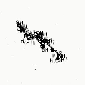 CCC[C@H](NC(=O)CNC(=O)[C@@H](NC(=O)[C@H](Cc1cnc[nH]1)NC(=O)[C@H](Cc1ccc(O)cc1)NC(=O)C(NC(=O)CCSCc1cccc(CSC[C@H](NC(=O)C[C@@H](C)O)C(N)=O)c1)C(C)(C)C)[C@@H](C)O)C(=O)NCC(=O)NCC(=O)N[C@@H](Cc1ccc(O)cc1)C(N)=O